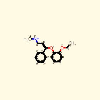 CCOc1ccccc1OC(=CCNC)c1ccccc1